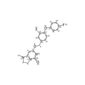 CN1CCn2c1cc(OCc1ccc(Oc3ccc(F)cc3)c(F)c1)nc2=O